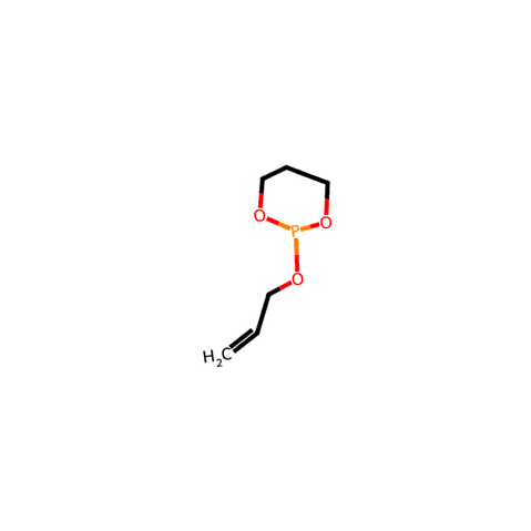 C=CCOP1OCCCO1